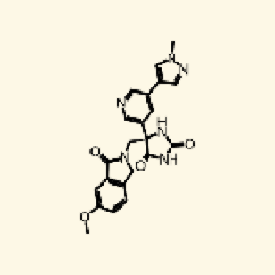 COc1ccc2c(c1)C(=O)N(C[C@@]1(c3cncc(-c4cnn(C)c4)c3)NC(=O)NC1=O)C2